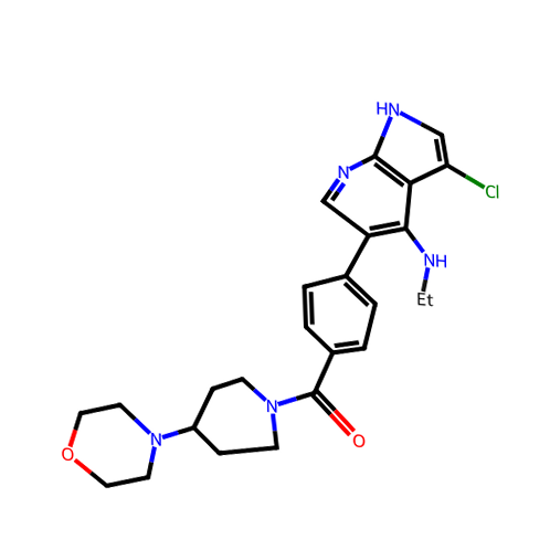 CCNc1c(-c2ccc(C(=O)N3CCC(N4CCOCC4)CC3)cc2)cnc2[nH]cc(Cl)c12